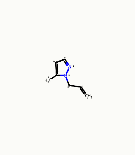 C=CCn1nccc1C